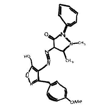 COc1ccc(-c2noc(O)c2N=NC2C(=O)N(c3ccccc3)N(C)C2C)cc1